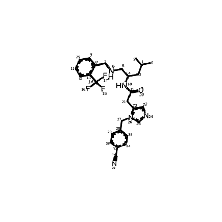 CC(C)CC(CNCc1ccccc1C(F)(F)F)NC(=O)Cc1cncn1Cc1ccc(C#N)cc1